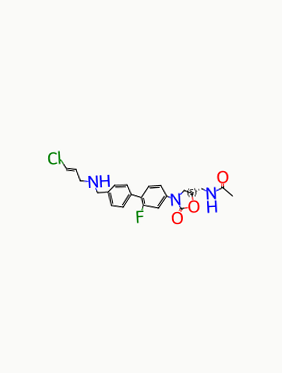 CC(=O)NC[C@H]1CN(c2ccc(-c3ccc(CNCC=CCl)cc3)c(F)c2)C(=O)O1